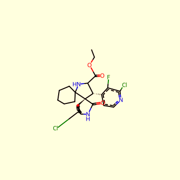 CCOC(=O)C1NC2(CCCCC2)[C@@]2(C(=O)Nc3cc(Cl)ccc32)[C@H]1c1ccnc(Cl)c1F